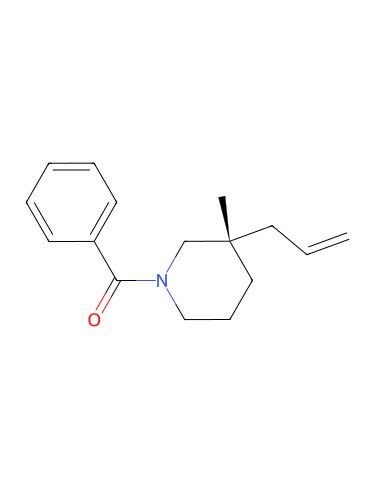 C=CC[C@]1(C)CCCN(C(=O)c2ccccc2)C1